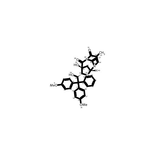 COc1ccc(C(c2ccccc2)(c2ccc(OC)cc2)C(O)[C@H]2O[C@@H]3C[C@@]2(O)C(=O)n2c(=O)c(C)cn3c2=O)cc1